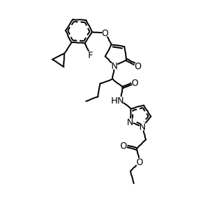 CCCC(C(=O)Nc1ccn(CC(=O)OCC)n1)N1CC(Oc2cccc(C3CC3)c2F)=CC1=O